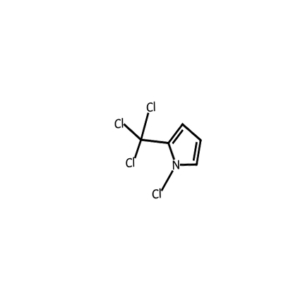 Cln1cccc1C(Cl)(Cl)Cl